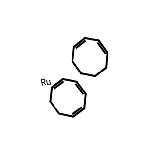 C1=CC=CCCC=C1.C1=CCCCCC=C1.[Ru]